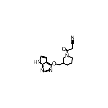 N#CCC(=O)N1CCCC(COc2ncnc3[nH]ccc23)C1